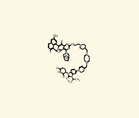 C#Cc1c(F)ccc2cc(O)cc(-c3ncc4c(N5CC6CCC(C5)N6)nc(OCCN5CCC(CN6CCN(CC7CCN(c8ccc9c(c8)n(C(C)C)c(=O)n9C8CCC(=O)NC8=O)CC7)CC6)CC5)nc4c3F)c12